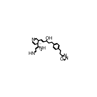 CN/C(=C\C=N)[C@@]1(C)C=CN=CC1/C=C/C(O)CCc1ccc(CCc2nnco2)cc1